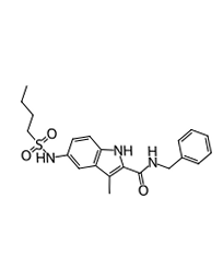 CCCCS(=O)(=O)Nc1ccc2[nH]c(C(=O)NCc3ccccc3)c(C)c2c1